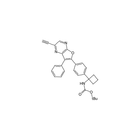 C#Cc1cnc2oc(-c3ccc(C4(NC(=O)OC(C)(C)C)CCC4)cc3)c(-c3ccccc3)c2n1